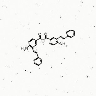 Nc1ccc(C(=O)OC(=O)c2ccc(N)c(C=Cc3ccccc3)c2)cc1C=Cc1ccccc1